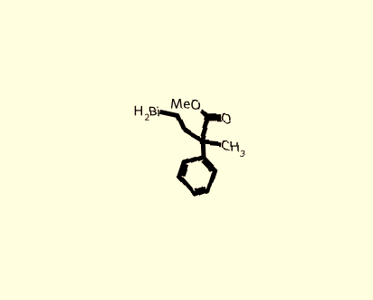 COC(=O)C(C)(C[CH2][BiH2])c1ccccc1